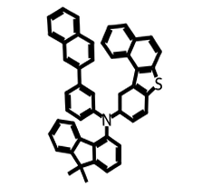 CC1(C)c2ccccc2-c2c(N(c3cccc(-c4ccc5ccccc5c4)c3)C3C=Cc4sc5ccc6ccccc6c5c4C3)cccc21